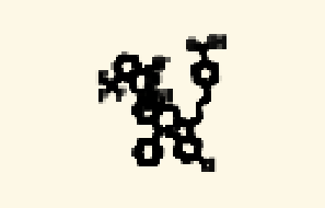 O=C(O)c1ccc(CCCc2c(CCNS(=O)(=O)Cc3c([N+](=O)[O-])cccc3C(F)(F)F)n(C(c3ccccc3)c3ccccc3)c3ccc(Cl)cc23)cc1